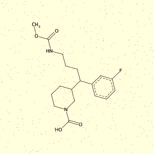 COC(=O)NCCCC(c1cccc(F)c1)C1CCCN(C(=O)O)C1